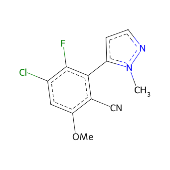 COc1cc(Cl)c(F)c(-c2ccnn2C)c1C#N